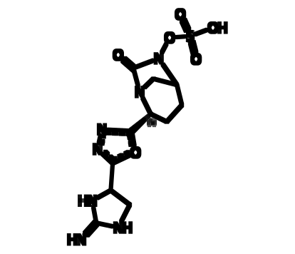 N=C1NCC(c2nnc([C@@H]3CCC4CN3C(=O)N4OS(=O)(=O)O)o2)N1